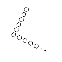 CCOC(C)=O.c1ccccc1.c1ccccc1.c1ccccc1.c1ccccc1.c1ccccc1.c1ccccc1.c1ccccc1.c1ccccc1.c1ccccc1.c1ccccc1